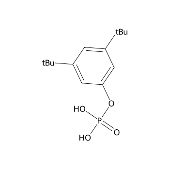 CC(C)(C)c1cc(OP(=O)(O)O)cc(C(C)(C)C)c1